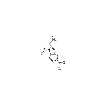 COC(=O)c1ccc2c(c1)cc(CN(C)C)n2[S+](C)[O-]